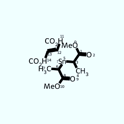 COC(=O)[CH](C)[Sn][CH](C)C(=O)OC.O=C(O)C=CC(=O)O